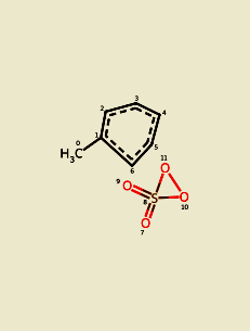 Cc1ccccc1.O=S1(=O)OO1